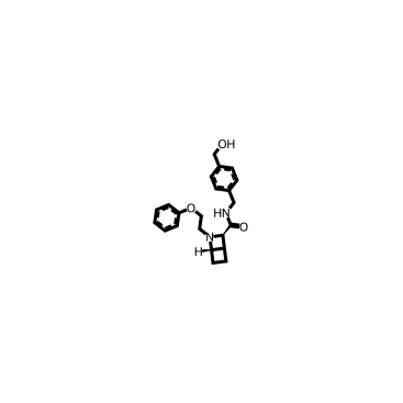 O=C(NCc1ccc(CO)cc1)[C@H]1C2CC[C@@H]2N1CCOc1ccccc1